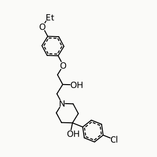 CCOc1ccc(OCC(O)CN2CCC(O)(c3ccc(Cl)cc3)CC2)cc1